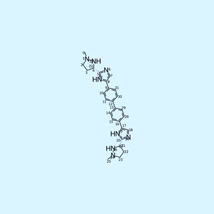 CN1CC[C@@H](c2ncc(-c3ccc(-c4ccc(-c5cnc([C@@H]6CCN(C)N6)[nH]5)cc4)cc3)[nH]2)N1